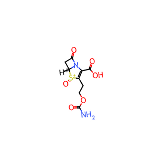 NC(=O)OCCC1=C(C(=O)O)N2C(=O)C[C@H]2[S+]1[O-]